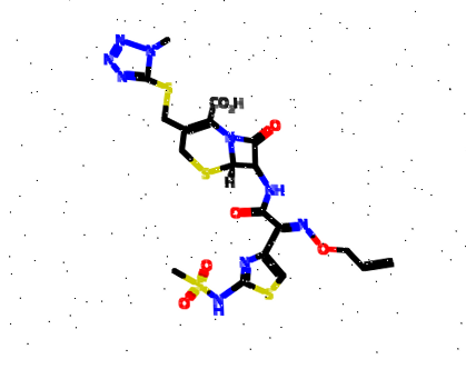 C=CCON=C(C(=O)NC1C(=O)N2C(C(=O)O)=C(CSc3nnnn3C)CS[C@@H]12)c1csc(NS(C)(=O)=O)n1